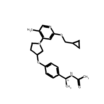 CC(=O)N[C@@H](C)c1ccc(OC2CCN(c3cc(OCC4CC4)ncc3C)C2)cc1